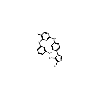 Oc1cccc(Nc2nc(Nc3ccc(-n4cnc(Cl)c4Cl)cc3)ncc2F)c1